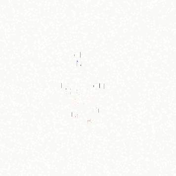 CC1CN(C)CCC1C(C)(C)OC(=O)C(Br)(Br)Br